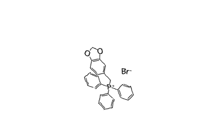 [Br-].c1ccc([P+](Cc2ccc3c(c2)OCO3)(c2ccccc2)c2ccccc2)cc1